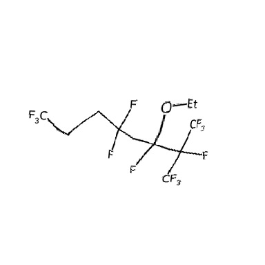 CCOC(F)(C(F)(F)CCC(F)(F)F)C(F)(C(F)(F)F)C(F)(F)F